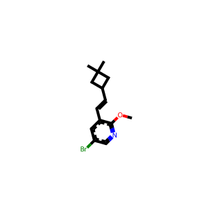 COc1ncc(Br)cc1/C=C/C1CC(C)(C)C1